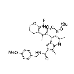 COc1ccc(CNC(=O)c2cc3c(-c4cc(F)c5c(c4C)CCCO5)c([C@H](OC(C)(C)C)C(=O)O)c(C)nc3n2C)cc1